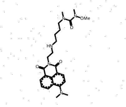 CON(C)C(=O)N(C)CCCCNCCN1C(=O)c2cccc3c(N(C)C)ccc(c23)C1=O